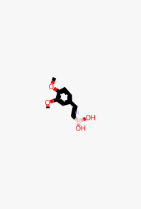 COc1ccc(/C=C/B(O)O)cc1OC